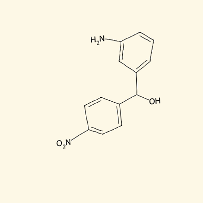 Nc1cccc(C(O)c2ccc([N+](=O)[O-])cc2)c1